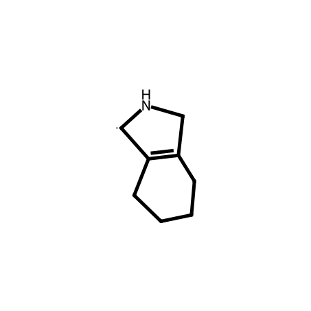 [CH]1NCC2=C1CCCC2